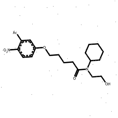 CC(=O)c1cc(OCCCCC(=O)N(CCO)C2CCCCC2)ccc1[N+](=O)[O-]